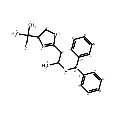 CC(CC1=NC(C(C)(C)C)CO1)OP(c1ccccc1)c1ccccc1